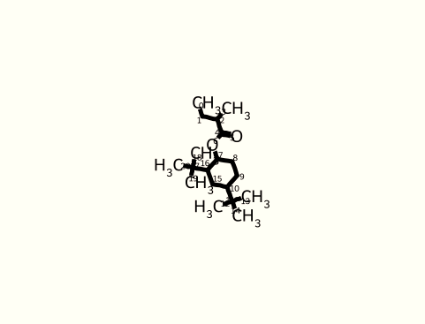 CCC(C)C(=O)OC1CCC(C(C)(C)C)CC1C(C)(C)C